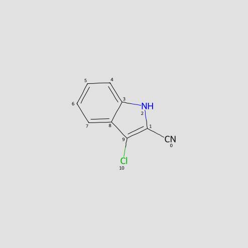 N#Cc1[nH]c2ccccc2c1Cl